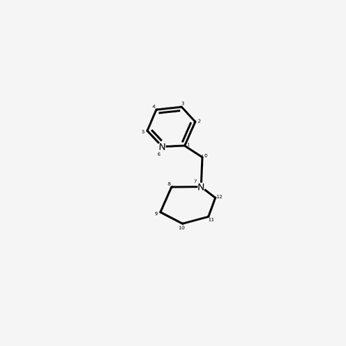 [CH](c1ccccn1)N1CCCCC1